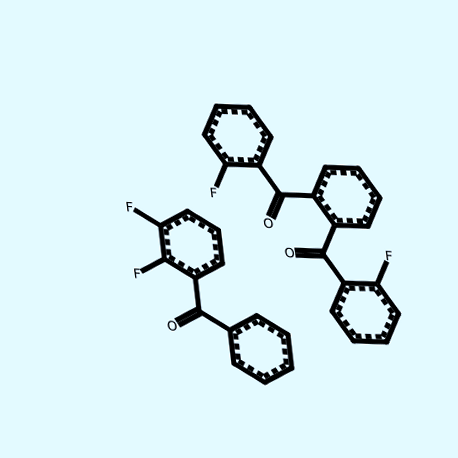 O=C(c1ccccc1)c1cccc(F)c1F.O=C(c1ccccc1F)c1ccccc1C(=O)c1ccccc1F